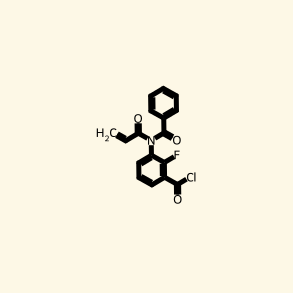 C=CC(=O)N(C(=O)c1ccccc1)c1cccc(C(=O)Cl)c1F